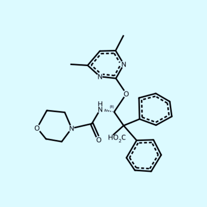 Cc1cc(C)nc(O[C@@H](NC(=O)N2CCOCC2)C(C(=O)O)(c2ccccc2)c2ccccc2)n1